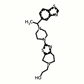 CC(c1ccc2scnc2c1)N1CCN(c2nc3c(s2)CN(CCO)CC3)CC1